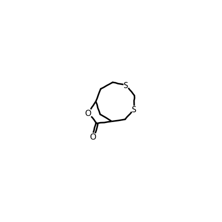 O=C1OC2CCSCSCC1C2